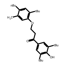 CCCCc1cc(C(C)(C)C)c(OCCC(=O)c2cc(C(C)(C)C)c(O)c(C(C)(C)C)c2)cc1C